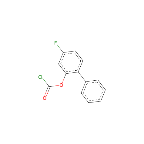 O=C(Cl)Oc1cc(F)ccc1-c1ccccc1